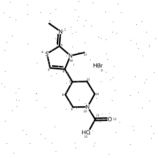 Br.C/N=c1\scc(C2CCN(C(=O)O)CC2)n1C